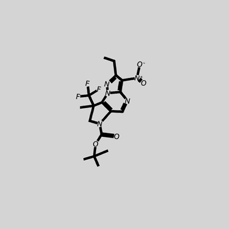 CCc1nn2c3c(cnc2c1[N+](=O)[O-])N(C(=O)OC(C)(C)C)CC3(C)C(F)(F)F